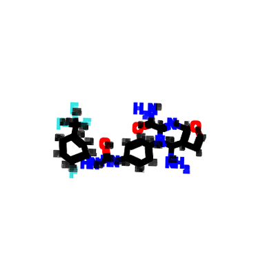 NC(=O)C1=Nc2occc2C(N)N1c1ccc(NC(=O)Nc2cc(C(F)(F)F)ccc2F)cc1